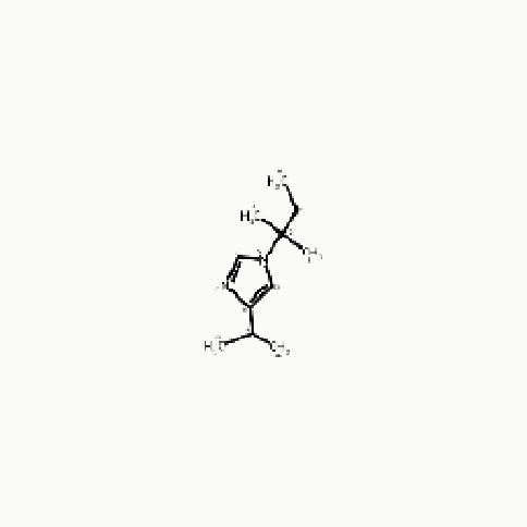 CCC(C)(C)n1cnc(C(C)C)c1